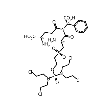 N[C@@H](CCC(=O)N(C(=O)[C@@H](N)CS(=O)(=O)CCOP(=O)(N(CCCl)CCCl)N(CCCl)CCCl)[C@@H](C(=O)O)c1ccccc1)C(=O)O